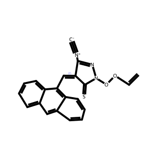 [C-]#[N+]C1=NN(OOC=C)C(=S)/C1=C\c1c2ccccc2cc2ccccc12